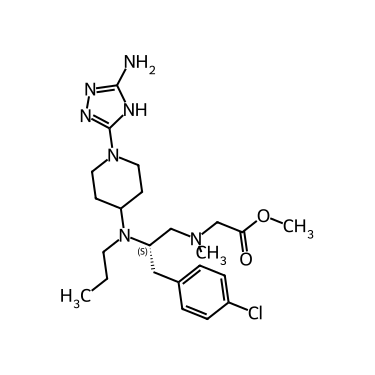 CCCN(C1CCN(c2nnc(N)[nH]2)CC1)[C@@H](Cc1ccc(Cl)cc1)CN(C)CC(=O)OC